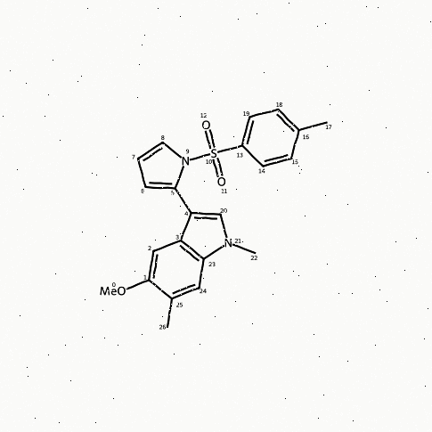 COc1cc2c(-c3cccn3S(=O)(=O)c3ccc(C)cc3)cn(C)c2cc1C